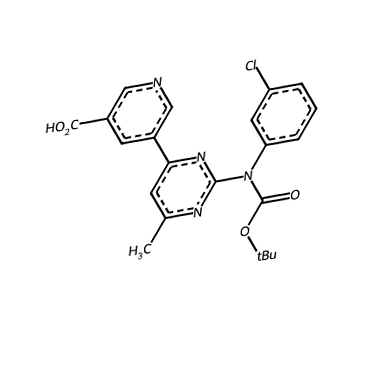 Cc1cc(-c2cncc(C(=O)O)c2)nc(N(C(=O)OC(C)(C)C)c2cccc(Cl)c2)n1